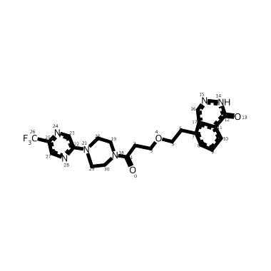 O=C(CCOCCc1cccc2c(=O)[nH]ncc12)N1CCN(c2cnc(C(F)(F)F)cn2)CC1